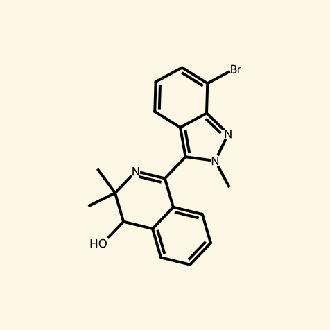 Cn1nc2c(Br)cccc2c1C1=NC(C)(C)C(O)c2ccccc21